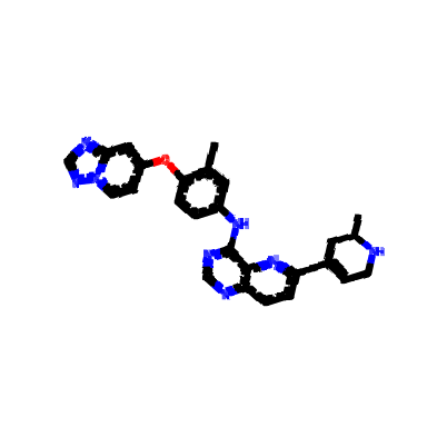 Cc1cc(Nc2ncnc3ccc(C4=CCNC(C)C4)nc23)ccc1Oc1ccn2ncnc2c1